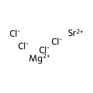 [Cl-].[Cl-].[Cl-].[Cl-].[Mg+2].[Sr+2]